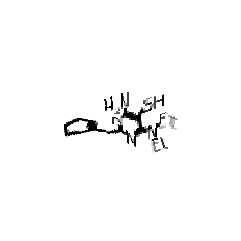 CCN(CC)c1nc(Cc2ccccc2)nc(N)c1S